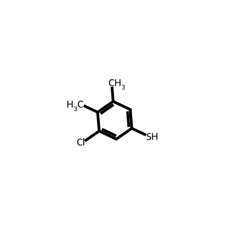 Cc1cc(S)cc(Cl)c1C